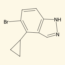 Brc1ccc2[nH]ncc2c1C1CC1